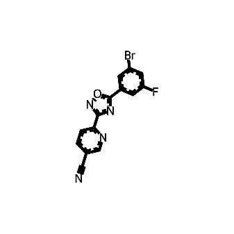 N#Cc1ccc(-c2noc(-c3cc(F)cc(Br)c3)n2)nc1